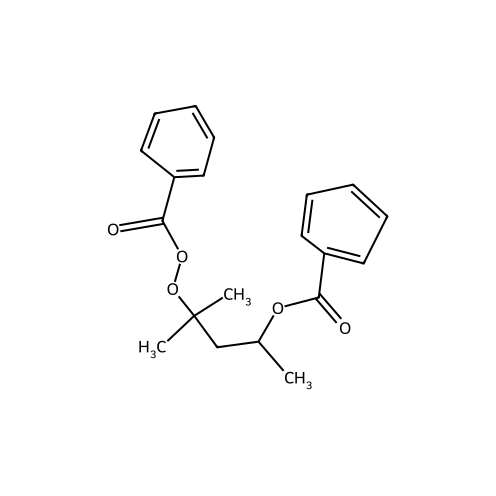 CC(CC(C)(C)OOC(=O)c1ccccc1)OC(=O)c1ccccc1